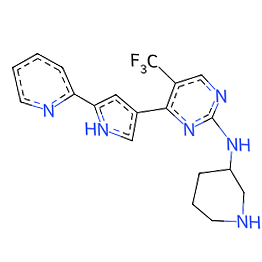 FC(F)(F)c1cnc(NC2CCCNC2)nc1-c1c[nH]c(-c2ccccn2)c1